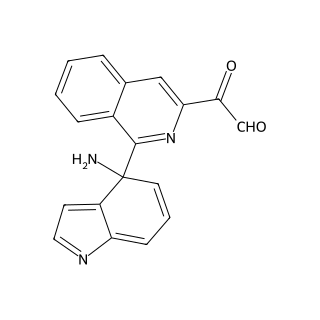 NC1(c2nc(C(=O)C=O)cc3ccccc23)C=CC=C2N=CC=C21